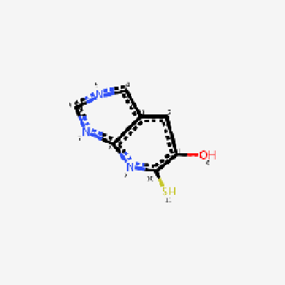 Oc1cc2cncnc2nc1S